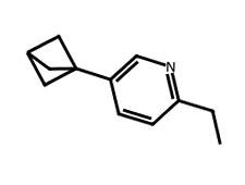 CCc1ccc(C23CC(C2)C3)cn1